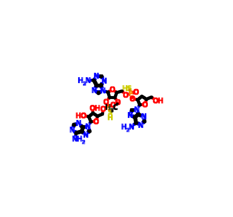 COC1C(COP(=O)(S)OC2CC(CO)OC2n2cnc3c(N)ncnc32)OC(n2cnc3c(N)ncnc32)C1OP(=O)(S)OCC1OC(n2cnc3c(N)ncnc32)C(O)C1O